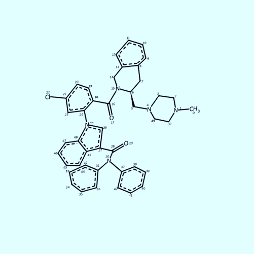 CN1CCN(C[C@@H]2Cc3ccccc3CN2C(=O)c2ccc(Cl)cc2-n2cc(C(=O)N(c3ccccc3)c3ccccc3)c3ccccc32)CC1